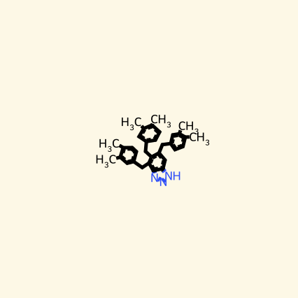 Cc1ccc(Cc2cc3[nH]nnc3c(Cc3ccc(C)c(C)c3)c2Cc2ccc(C)c(C)c2)cc1C